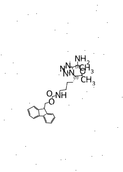 CC(=O)[C@H](CCCCNC(=O)OCC1c2ccccc2-c2ccccc21)n1nnnc1[C@H](C)N